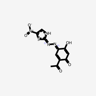 CC(=O)C1=C/C(=N\N=c2/[nH]cc([N+](=O)[O-])s2)C(O)=CC1=O